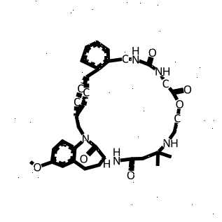 COc1ccc2c(c1)CC[C@H]1NC(=O)CC(C)(C)NCCOC(=O)CNC(=O)NCc3ccccc3-c3ccc(cc3)CN2C1=O